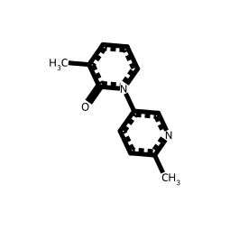 Cc1ccc(-n2cccc(C)c2=O)cn1